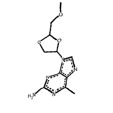 COCC1OCC(n2cnc3c(C)nc(N)nc32)O1